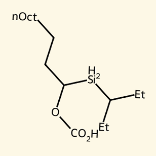 CCCCCCCCCCC(OC(=O)O)[SiH2]C(CC)CC